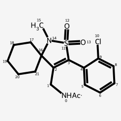 CC(=O)[N]CC1=C(c2ccccc2Cl)S(=O)(=O)N(C)C12CCCCC2